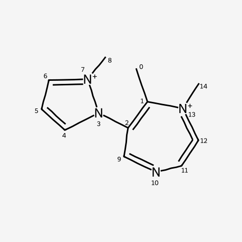 CC1=C(n2ccc[n+]2C)C=NC=C=[N+]1C